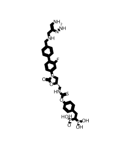 N=N/C(=C\N)CNCc1ccc(-c2ccc(N3C[C@H](CNC(=S)Oc4ccc(CC(P(O)O)[PH](=O)O)cc4)OC3=O)cc2F)cc1